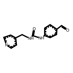 O=Cc1ccc(NC(=O)NCc2ccncc2)cc1